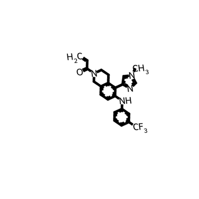 C=CC(=O)N1CCc2c(ccc(Nc3cccc(C(F)(F)F)c3)c2-c2cn(C)cn2)C1